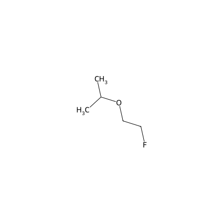 CC(C)OCCF